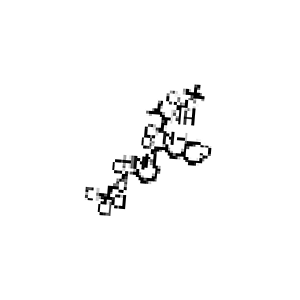 CC(C)[C@H](NC(=O)OC(C)(C)C)C(=O)NC(CC1CCOCC1)C(=O)N1CCC[C@@H](C(=O)OCC(Cl)(Cl)Cl)N1